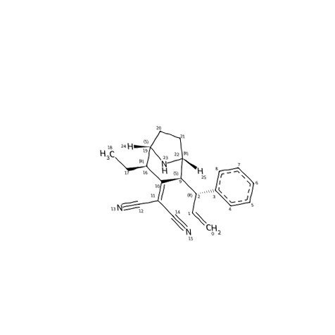 C=C[C@@H](c1ccccc1)[C@H]1C(=C(C#N)C#N)[C@@H](CC)[C@@H]2CC[C@H]1N2